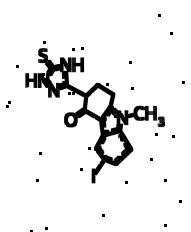 Cn1c2c(c3cc(I)ccc31)C(=O)C(c1n[nH]c(=S)[nH]1)CC2